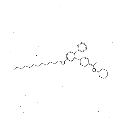 CCCCCCCCCCCCOc1ccc(-c2ccccc2)c(C2=CC/C(=C(/C)OC3CCCCC3)C=C2)c1